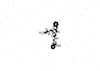 NCC(=O)NCC(=O)N[C@@H](Cc1ccccc1)C(=O)NCC(=O)NCOCC1(C(=O)O)CCCC1